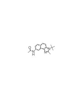 CC(=O)Nc1ccc2ccc3c(nc(C)n3C(C)(C)C)c2c1